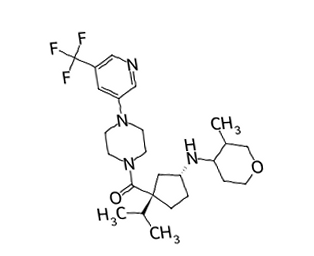 CC1COCCC1N[C@@H]1CC[C@@](C(=O)N2CCN(c3cncc(C(F)(F)F)c3)CC2)(C(C)C)C1